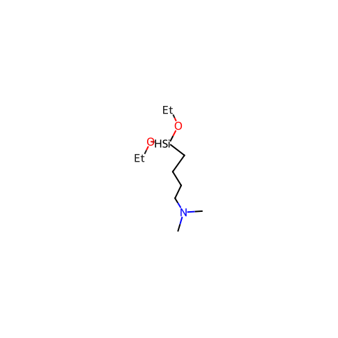 CCO[SiH](CCCCN(C)C)OCC